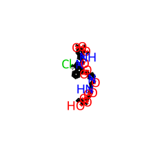 CCC(CO)OC(COC(=O)NCCC(=O)N1CCC(C(=O)Oc2cc3c(c4ccccc24)[C@@H](CCl)CN3C(=O)c2cc3cc(OC)c(OC)c(OC)c3[nH]2)C1)OC